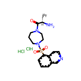 CC(C)[C@H](N)C(=O)N1CCCN(S(=O)(=O)c2cccc3cnccc23)CC1.Cl.Cl